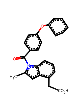 Cc1cc2c(CC(=O)O)cccc2n1C(=O)c1ccc(Oc2ccccc2)cc1